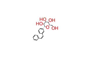 OC[C@H]1O[C@H](c2cccc(/C=C\c3ccccc3)c2)[C@@H](O)[C@@H](O)[C@@H]1O